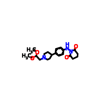 COC(CN1CCC(c2ccc(NN3C(=O)CCCC3=O)cc2)CC1)OC